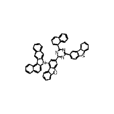 c1ccc2cc3c(cc2c1)c1c2ccccc2ccc1n3-c1cc(-c2nc(-c3ccc4sc5ccccc5c4c3)nc(-c3cccc4ccccc34)n2)cc2oc3ccccc3c12